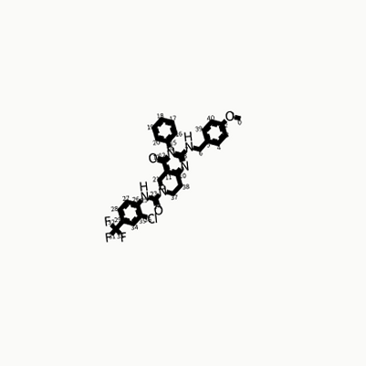 COc1ccc(CNc2nc3c(c(=O)n2-c2ccccc2)CN(C(=O)Nc2ccc(C(F)(F)F)cc2Cl)CC3)cc1